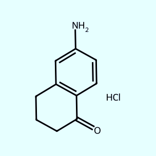 Cl.Nc1ccc2c(c1)CCCC2=O